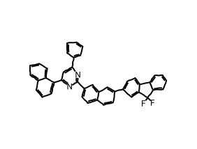 FC1(F)c2ccccc2-c2ccc(-c3ccc4ccc(-c5nc(-c6ccccc6)cc(-c6cccc7ccccc67)n5)cc4c3)cc21